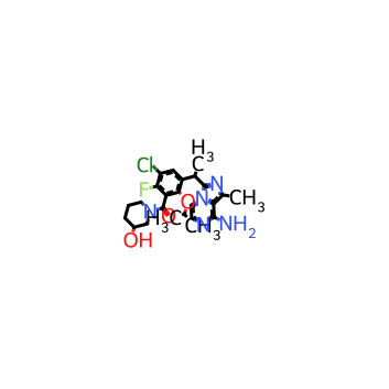 Cc1nc(C(C)c2cc(Cl)c(F)c(C(=O)N3CCCC(O)C3)c2OC(C)C)n2ccnc(N)c12